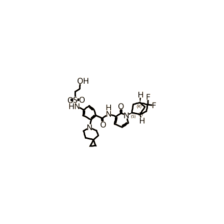 O=C(Nc1cccn([C@H]2C[C@H]3C[C@@H]2CC3(F)F)c1=O)c1ccc(NS(=O)(=O)CCO)cc1N1CCC2(CC1)CC2